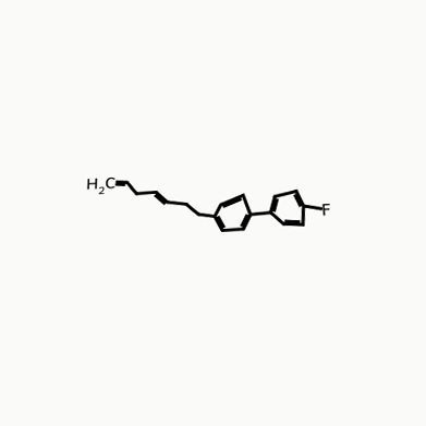 C=CC/C=C/CCc1ccc(-c2ccc(F)cc2)cc1